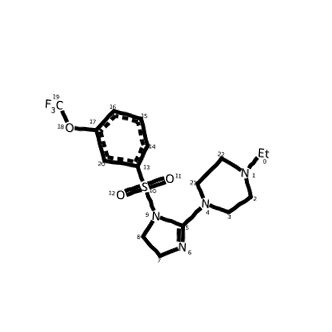 CCN1CCN(C2=NCCN2S(=O)(=O)c2cccc(OC(F)(F)F)c2)CC1